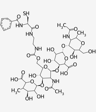 CC(=O)NC1C(C)OC(CO)[C@@H](O)[C@@H]1O[C@@H]1OC(C(=O)O)[C@@H](O[C@@H]2OC(COC(=O)NCCNC(=O)[C@H](CS)NC(=O)c3ccccc3)[C@@H](O)[C@H](O[C@@H]3OC(C(=O)O)C(C)[C@H](O)C3O)C2NC(C)=O)[C@H](O)C1O